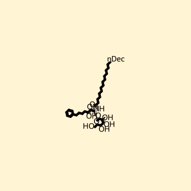 CCCCCCCCCCCCCCCCCCCCCCCCCC(=O)N[C@@H](COC1OC(CO)C(O)C(O)[C@@H]1O)[C@H](O)[C@H](O)CCCCc1ccccc1